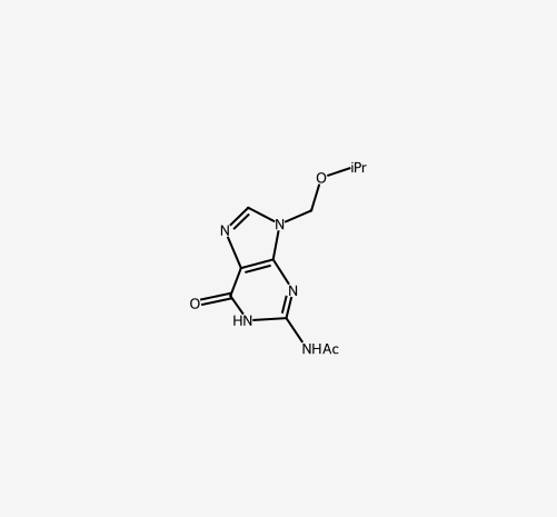 CC(=O)Nc1nc2c(ncn2COC(C)C)c(=O)[nH]1